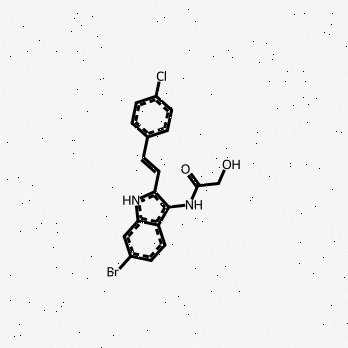 O=C(CO)Nc1c(C=Cc2ccc(Cl)cc2)[nH]c2cc(Br)ccc12